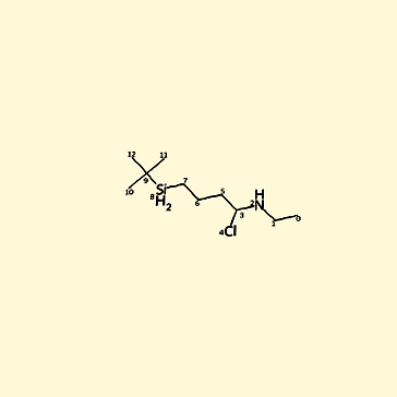 CCNC(Cl)CCC[SiH2]C(C)(C)C